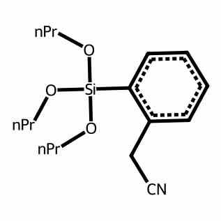 CCCO[Si](OCCC)(OCCC)c1ccccc1CC#N